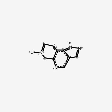 [O-][N+]1=CC=c2c(ncc3c2=NN=C3)C1